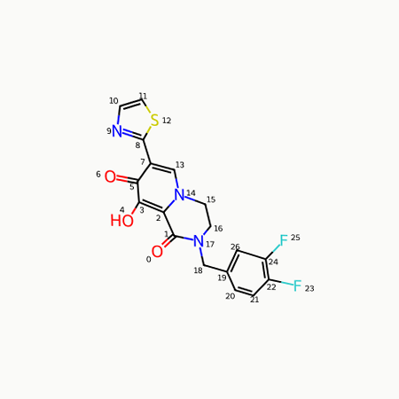 O=C1c2c(O)c(=O)c(-c3nccs3)cn2CCN1Cc1ccc(F)c(F)c1